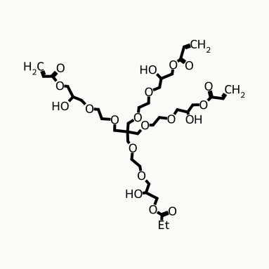 C=CC(=O)OCC(O)COCCOCC(COCCOCC(O)COC(=O)C=C)(COCCOCC(O)COC(=O)C=C)COCCOCC(O)COC(=O)CC